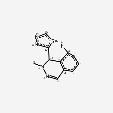 CN1N=Cc2cccc(F)c2C1c1nncs1